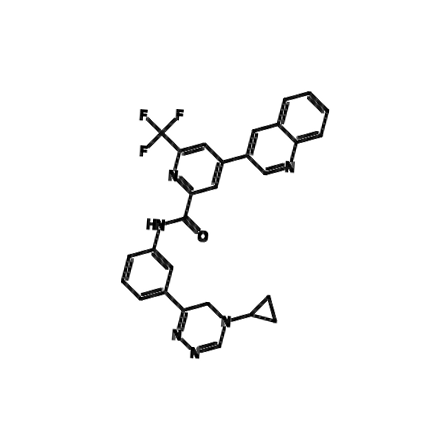 O=C(Nc1cccc(C2=NN=CN(C3CC3)C2)c1)c1cc(-c2cnc3ccccc3c2)cc(C(F)(F)F)n1